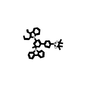 C=Cc1c(/C=C\C)n(C2=CC(C)(n3c4ccccc4c4ccccc43)CC(c3ccc(B4OC(C)(C)C(C)(C)O4)cc3)=C2)c2ccccc12